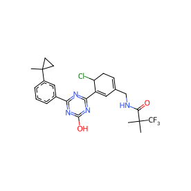 CC1(c2cccc(-c3nc(O)nc(C4=CC(CNC(=O)C(C)(C)C(F)(F)F)=CCC4Cl)n3)c2)CC1